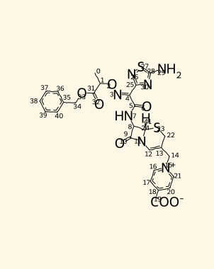 CC(ON=C(C(=O)NC1C(=O)N2C=C(C[n+]3ccc(C(=O)[O-])cc3)CS[C@@H]12)c1nsc(N)n1)C(=O)OCc1ccccc1